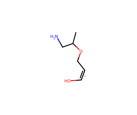 CC(CN)OC/C=C\O